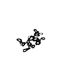 c1ccc(-n2c3ccccc3c3cc4c(cc32)c(-c2ccc3oc5ccccc5c3c2)cc2sc3cc(-c5ccc6oc7ccccc7c6c5)c5cc6c(cc5c3c24)c2ccccc2n6-c2ccccc2)cc1